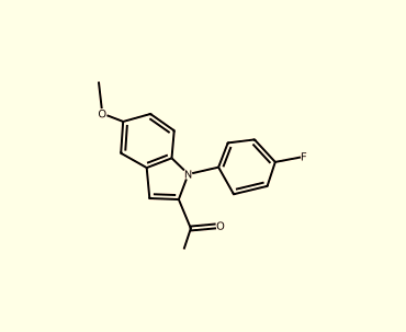 COc1ccc2c(c1)cc(C(C)=O)n2-c1ccc(F)cc1